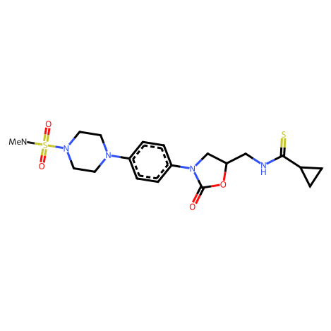 CNS(=O)(=O)N1CCN(c2ccc(N3CC(CNC(=S)C4CC4)OC3=O)cc2)CC1